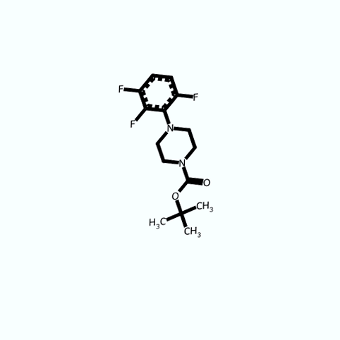 CC(C)(C)OC(=O)N1CCN(c2c(F)ccc(F)c2F)CC1